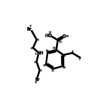 BrCCNCCBr.CCc1ccccc1C(=O)O